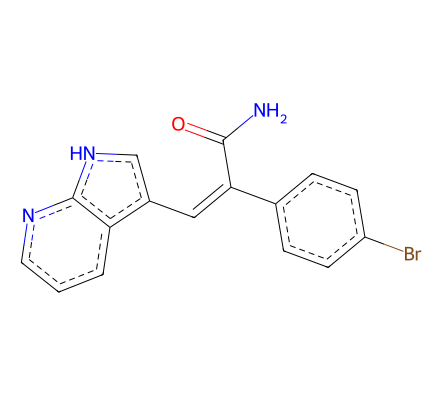 NC(=O)C(=Cc1c[nH]c2ncccc12)c1ccc(Br)cc1